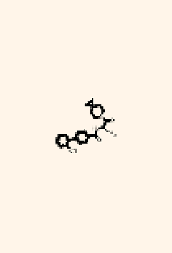 C[C@@H](NC(=O)c1ccc(-c2ccccc2C#N)cc1)C(=O)N1CCC2(CC1)CC2